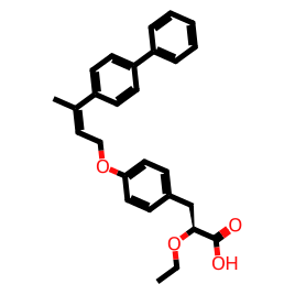 CCO[C@@H](Cc1ccc(OCC=C(C)c2ccc(-c3ccccc3)cc2)cc1)C(=O)O